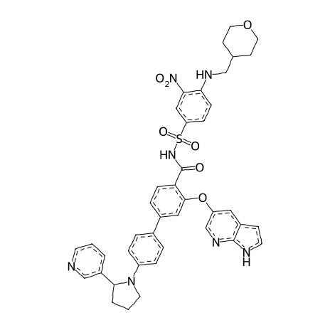 O=C(NS(=O)(=O)c1ccc(NCC2CCOCC2)c([N+](=O)[O-])c1)c1ccc(-c2ccc(N3CCCC3c3cccnc3)cc2)cc1Oc1cnc2[nH]ccc2c1